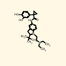 CCN(CC)CCN1c2ccc(NC(=O)C3(c4ccc(O)c(O)c4)CC3)cc2CC1C(C)(C)C